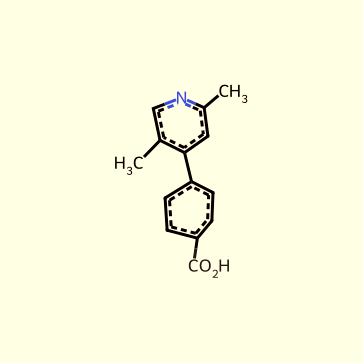 Cc1cc(-c2ccc(C(=O)O)cc2)c(C)cn1